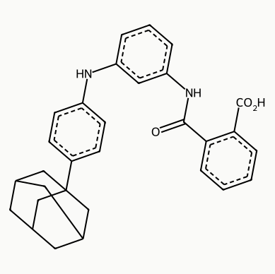 O=C(O)c1ccccc1C(=O)Nc1cccc(Nc2ccc(C34CC5CC(CC(C5)C3)C4)cc2)c1